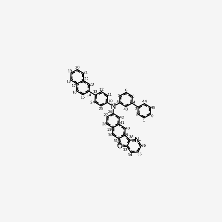 c1ccc(-c2cccc(N(c3ccc(-c4ccc5ccccc5c4)cc3)c3ccc4cc5oc6cccnc6c5cc4c3)c2)cc1